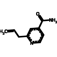 C=CCc1cc(C(N)=O)ccn1